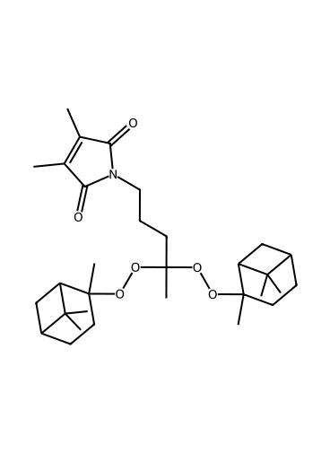 CC1=C(C)C(=O)N(CCCC(C)(OOC2(C)CCC3CC2C3(C)C)OOC2(C)CCC3CC2C3(C)C)C1=O